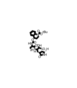 CC(C)CC(NC(=O)OC1CCN(C(=O)OC(C)(C)C)c2ccccc21)C(=O)NC(C[C@@H]1CCNC1=O)C(O)S(=O)(=O)O